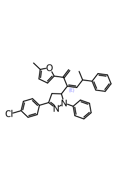 C=C(/C(=C\C(C)c1ccccc1)C1CC(c2ccc(Cl)cc2)=NN1c1ccccc1)c1ccc(C)o1